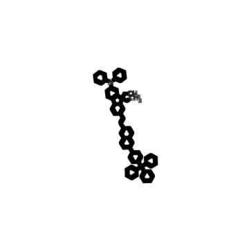 CCC1(CC)c2cc(N(C3=CCCC=C3)c3ccccc3)ccc2C2C=CC(/C=C/c3ccc4cc(-c5ccc(C(c6ccccc6)(c6ccccc6)c6ccccc6)cc5)ccc4c3)=CC21